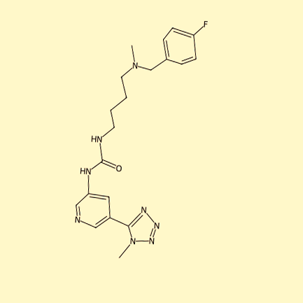 CN(CCCCNC(=O)Nc1cncc(-c2nnnn2C)c1)Cc1ccc(F)cc1